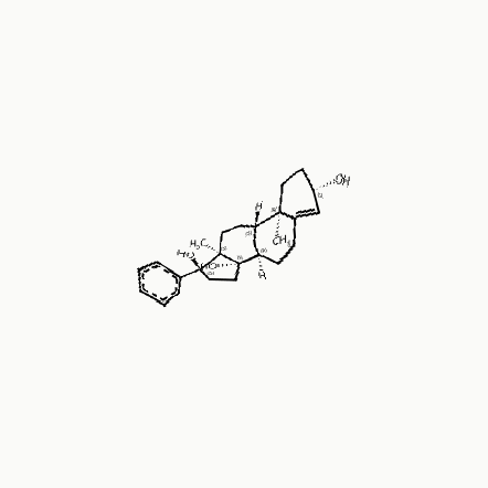 C[C@]12CC[C@H]3[C@@H](CCC4=C[C@@H](O)CC[C@@]43C)[C@@]1(O)CC[C@]2(O)c1ccccc1